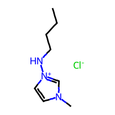 CCCCN[n+]1ccn(C)c1.[Cl-]